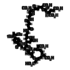 CC(C)(C)[Si](F)(c1ccc(C(=O)NC[C@@H](NC(=O)CN2CCN(CC(=O)O)CCN(CC(=O)O)CCN(CC(=O)O)CC2)C(=O)N[C@H](CCCCNC(=O)CCC(=O)NCCC[C@@H](NC(=O)CC[C@H](OC(=O)N[C@@H](CCC(=O)O)C(=O)O)C(=O)O)C(=O)O)CC(O)O)cc1)C(C)(C)C